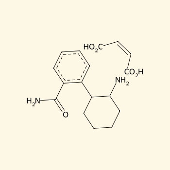 NC(=O)c1ccccc1C1CCCCC1N.O=C(O)/C=C\C(=O)O